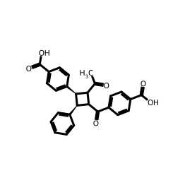 CC(=O)C1C(C(=O)c2ccc(C(=O)O)cc2)[C@@H](c2ccccc2)[C@H]1c1ccc(C(=O)O)cc1